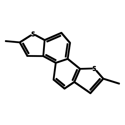 Cc1cc2c(ccc3c2ccc2cc(C)sc23)s1